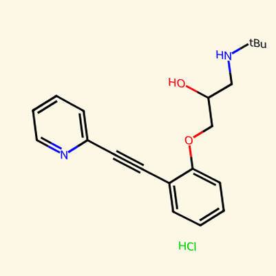 CC(C)(C)NCC(O)COc1ccccc1C#Cc1ccccn1.Cl